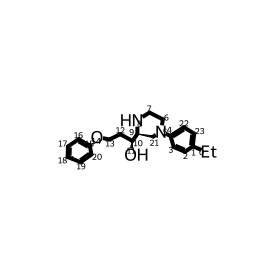 CCc1ccc(N2CCN[C@H]([C@@H](O)CCOc3cc[c]cc3)C2)cc1